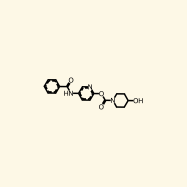 O=C(Nc1ccc(OC(=O)N2CCC(O)CC2)nc1)c1ccccc1